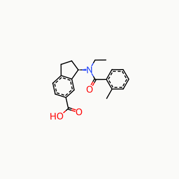 CCN(C(=O)c1ccccc1C)[C@@H]1CCc2ccc(C(=O)O)cc21